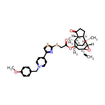 C=C[C@]12C[C@@H](OC(=O)CSc3nc(-c4cc[n+](Cc5ccc(OC)cc5)cc4)cs3)[C@]3(C)[C@H](C)CC[C@]4(CCC(=O)[C@H]43)[C@@H](C)[C@@H]1O2